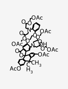 CC(=O)OCOC(=O)CN(CC(=O)OCOC(C)=O)c1ccccc1OCCOc1cc2c(cc1N(CC(=O)OCOC(C)=O)CC(O)OCOC(C)=O)C1(OC2=O)c2ccc(OC(C)=O)cc2C(C)(C)c2cc(OC(C)=O)ccc21